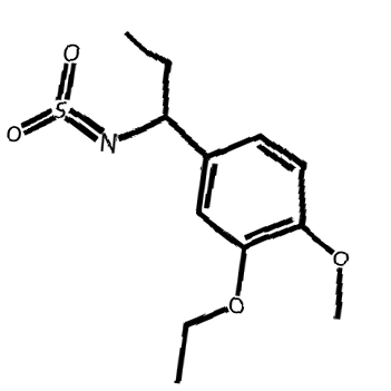 CCOc1cc(C(CC)N=S(=O)=O)ccc1OC